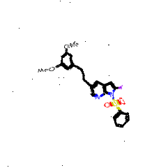 COc1cc(CCc2cnc3c(c2)cc(I)n3S(=O)(=O)c2ccccc2)cc(OC)c1